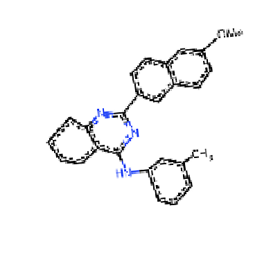 COc1ccc2cc(-c3nc(Nc4cccc(C)c4)c4ccccc4n3)ccc2c1